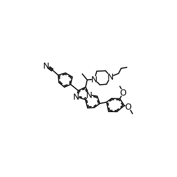 CCCN1CCN(C(C)c2c(-c3ccc(C#N)cc3)nc3ccc(-c4ccc(OC)c(OC)c4)cn23)CC1